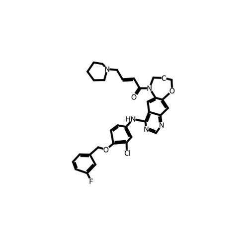 O=C(/C=C/CN1CCCCC1)N1CCCOc2cc3ncnc(Nc4ccc(OCc5cccc(F)c5)c(Cl)c4)c3cc21